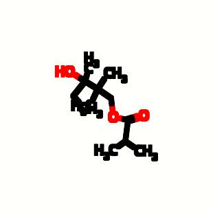 CCC(C)(O)C(C)(C)COC(=O)C(C)C